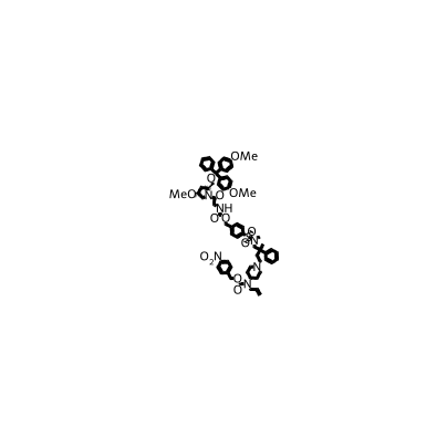 C=CCN(C(=O)OCc1ccc([N+](=O)[O-])cc1)C1CCN(CCC(C)(CN(C)S(=O)(=O)c2ccc(COC(=O)NCC(=O)N3C[C@H](OC)C[C@H]3COC(c3ccccc3)(c3ccc(OC)cc3)c3ccc(OC)cc3)cc2)c2ccccc2)CC1